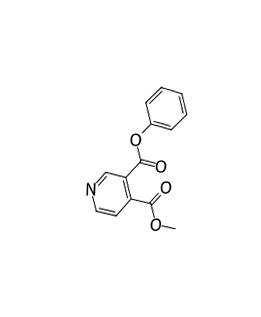 COC(=O)c1ccncc1C(=O)Oc1ccccc1